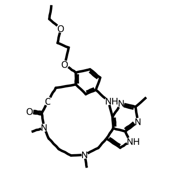 CCOCCOc1ccc2cc1CCC(=O)N(C)CCCN(C)Cc1c[nH]c3nc(C)nc(c13)N2